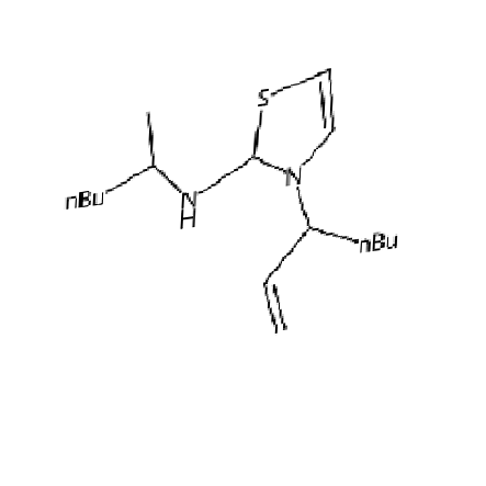 C=CC(CCCC)N1C=CSC1NC(C)CCCC